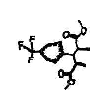 C=C(C(=O)OC)C(C(=C)C(=O)OC)c1ccc(C(F)(F)F)cc1